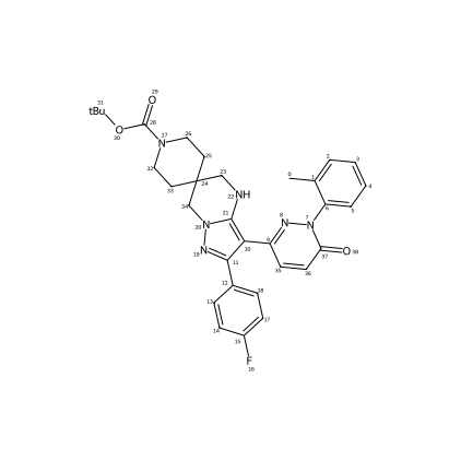 Cc1ccccc1-n1nc(-c2c(-c3ccc(F)cc3)nn3c2NCC2(CCN(C(=O)OC(C)(C)C)CC2)C3)ccc1=O